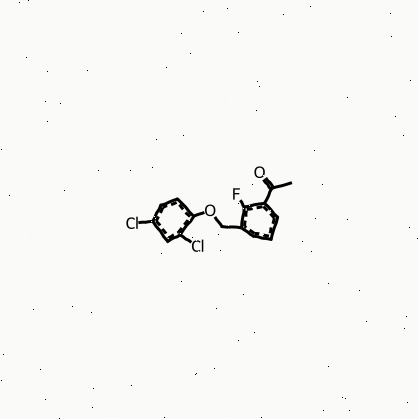 CC(=O)c1cccc(COc2ccc(Cl)cc2Cl)c1F